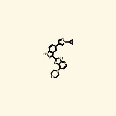 c1cc(N2CCOCC2)c2nc(-c3n[nH]c4ccc(-c5cnn(C6CC6)c5)cc34)[nH]c2n1